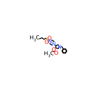 CCCCCS(=O)(=O)N1CCN(C2CN(Cc3ccccc3)CC2OC(C)=O)CC1